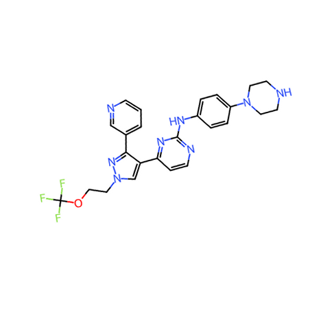 FC(F)(F)OCCn1cc(-c2ccnc(Nc3ccc(N4CCNCC4)cc3)n2)c(-c2cccnc2)n1